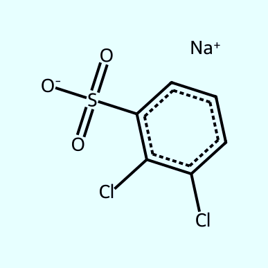 O=S(=O)([O-])c1cccc(Cl)c1Cl.[Na+]